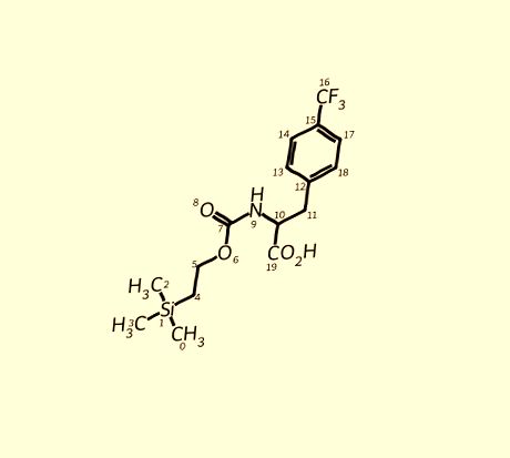 C[Si](C)(C)CCOC(=O)NC(Cc1ccc(C(F)(F)F)cc1)C(=O)O